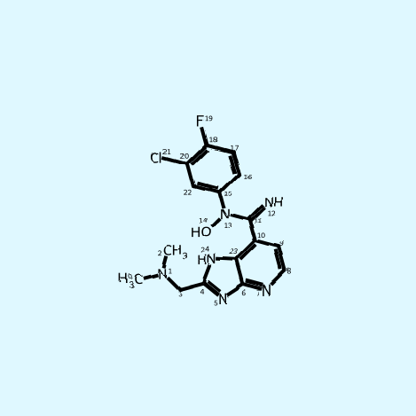 CN(C)Cc1nc2nccc(C(=N)N(O)c3ccc(F)c(Cl)c3)c2[nH]1